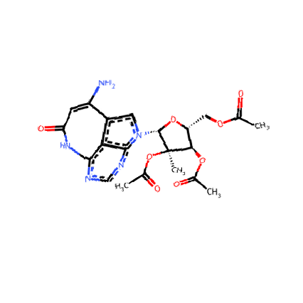 CC(=O)OC[C@H]1O[C@@H](n2cc3c4c(ncnc42)NC(=O)C=C3N)[C@](C)(OC(C)=O)[C@@H]1OC(C)=O